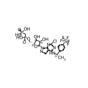 C[C@H](Nc1nc(Cl)nc2c1cnn2[C@@H]1O[C@H](COP(=O)(O)CP(=O)(O)O)[C@@H](O)[C@H]1O)c1ccc(S(F)(F)(F)(F)F)cc1